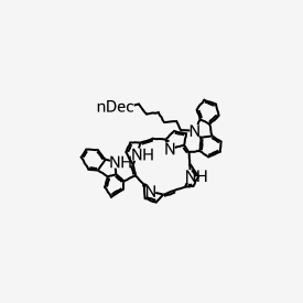 CCCCCCCCCCCCCCCCn1c2ccccc2c2cccc(-c3c4nc(cc5ccc([nH]5)c(-c5cccc6c5[nH]c5ccccc56)c5nc(cc6ccc3[nH]6)C=C5)C=C4)c21